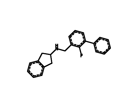 Fc1c(CNC2Cc3ccccc3C2)cccc1-c1ccccc1